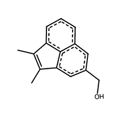 CC1=C(C)c2cc(CO)cc3cccc1c23